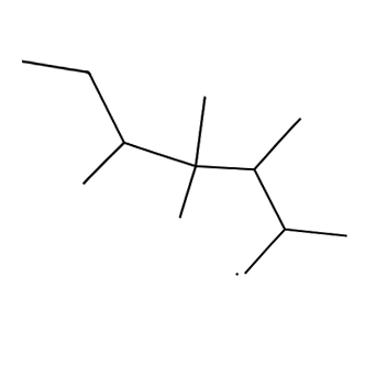 [CH2]C(C)C(C)C(C)(C)C(C)CC